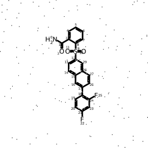 NC(=O)c1ccccc1S(=O)(=O)c1ccc2cc(-c3ccc(F)cc3F)ccc2c1